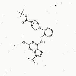 CC(C)n1cnc2c(NCc3ccccc3N3CC4CC3CN4C(=O)OC(C)(C)C)nc(Cl)nc21